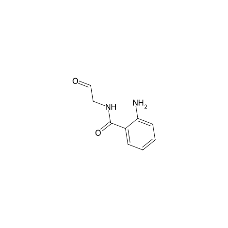 Nc1ccccc1C(=O)NCC=O